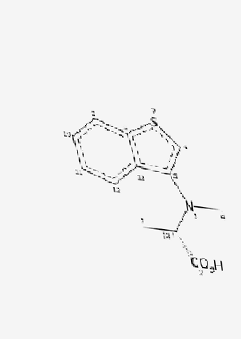 C[C@@H](C(=O)O)N(C)c1csc2ccccc12